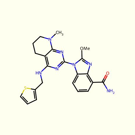 COc1nc2c(C(N)=O)cccc2n1-c1nc(NCc2cccs2)c2c(n1)N(C)CCC2